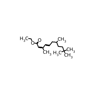 CCOC(=O)C=C(C)C=CCC(C)CCC(C)(C)C